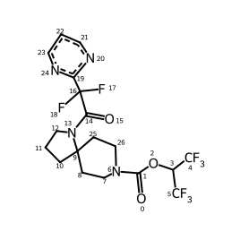 O=C(OC(C(F)(F)F)C(F)(F)F)N1CCC2(CCCN2C(=O)C(F)(F)c2ncccn2)CC1